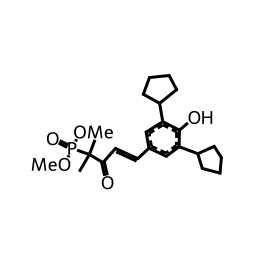 COP(=O)(OC)C(C)(C)C(=O)C=Cc1cc(C2CCCC2)c(O)c(C2CCCC2)c1